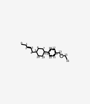 CCC=CCC1CCC(c2ccc(COCC)cc2)CC1